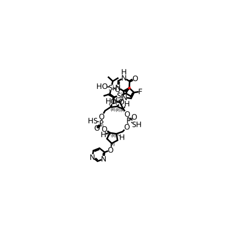 CC(C)[Si](O)(O[Si](O[C@H]1[C@H]2O[P@](=O)(S)OC[C@H]3C[C@@H](Oc4ccncn4)C[C@@H]3O[P@](=O)(S)OC[C@H]1O[C@H]2n1cc(F)c2c(=O)[nH]cnc21)(C(C)C)C(C)C)C(C)C